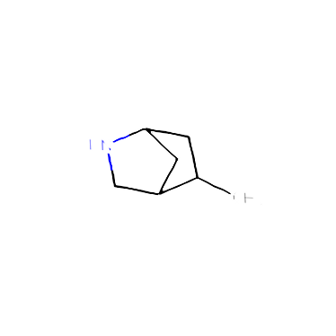 CC1CC2CC1CN2